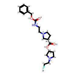 O=C(NCCN1CC[C@@H](C(=O)O[C@@H]2CCN(CCF)C2)C1)OCc1ccccc1